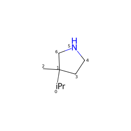 CC(C)C1(C)CCNC1